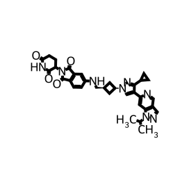 CC(C)n1ncc2cnc(-c3cn([C@H]4C[C@H](CNc5ccc6c(c5)C(=O)N(C5CCC(=O)NC5=O)C6=O)C4)nc3C3CC3)cc21